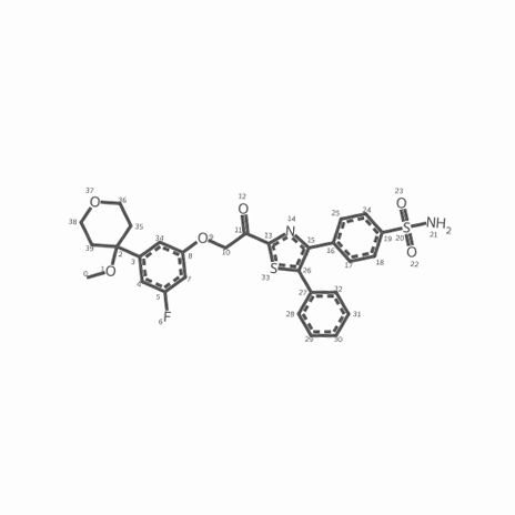 COC1(c2cc(F)cc(OCC(=O)c3nc(-c4ccc(S(N)(=O)=O)cc4)c(-c4ccccc4)s3)c2)CCOCC1